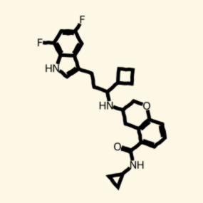 O=C(NC1CC1)c1cccc2c1CC(NC(CCc1c[nH]c3c(F)cc(F)cc13)C1CCC1)CO2